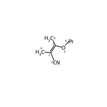 C/C(C#N)=C(\C)OC(C)C